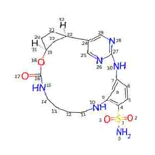 NS(=O)(=O)c1ccc2cc1NCCCCNC(=O)O[C@H]1CC[C@H](C1)c1cnc(nc1)N2